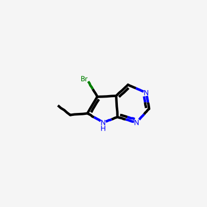 CCc1[nH]c2ncncc2c1Br